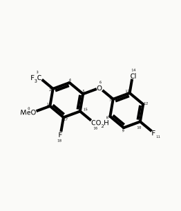 COc1c(C(F)(F)F)cc(Oc2ccc(F)cc2Cl)c(C(=O)O)c1F